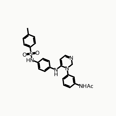 CC(=O)Nc1cccc(N2CN=CC=C2Nc2ccc(NS(=O)(=O)c3ccc(C)cc3)cc2)c1